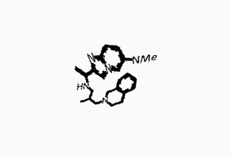 C=C(NCC(C)CN1CCc2ccccc2C1)c1cn2cc(NC)ccc2n1